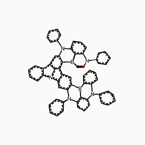 c1ccc(N2c3ccccc3B3c4cc5c6c7c(cc8c9ccccc9n(c5cc4N(c4ccccc4)c4cccc2c43)c86)N(c2ccccc2)c2cccc3c2B7c2ccccc2N3c2ccccc2)cc1